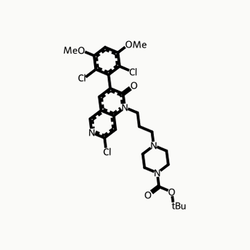 COc1cc(OC)c(Cl)c(-c2cc3cnc(Cl)cc3n(CCCN3CCN(C(=O)OC(C)(C)C)CC3)c2=O)c1Cl